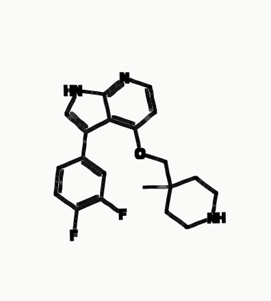 CC1(COc2ccnc3[nH]cc(-c4ccc(F)c(F)c4)c23)CCNCC1